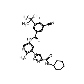 Cc1ncc(NC(=O)c2cc(C#N)cc(C(C)(C)C)c2)cc1-n1cc(C(=O)NC2CCCCC2)nn1